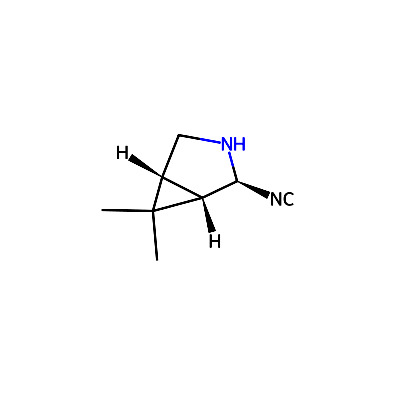 [C-]#[N+][C@@H]1NC[C@@H]2[C@H]1C2(C)C